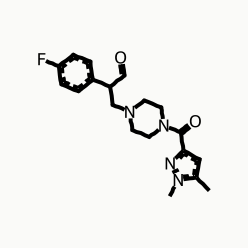 Cc1cc(C(=O)N2CCN(CC(C=O)c3ccc(F)cc3)CC2)nn1C